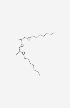 CCCCCCCOCC(C)OCC(C)OCCCCCCC